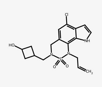 C=CCN1c2c(cc(Cl)c3cc[nH]c23)CN(CC2CC(O)C2)S1(=O)=O